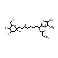 CC(NC(=O)C(CCCCNCCC1(O)CC(O)C(O)C(CO)O1)NC(=O)CN)C(=O)O